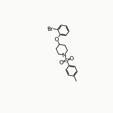 Cc1ccc(S(=O)(=O)N2CCC(Oc3ccccc3Br)CC2)cc1